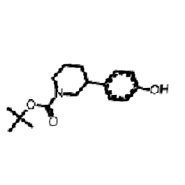 CC(C)(C)OC(=O)N1CCCC(c2ccc(O)cc2)C1